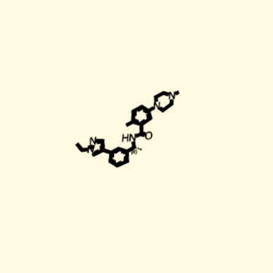 CCn1cc(-c2cccc([C@@H](C)NC(=O)c3cc(N4CCN(C)CC4)ccc3C)c2)cn1